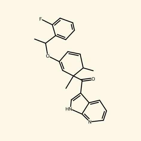 CC(OC1=CC(C)(C(=O)c2c[nH]c3ncccc23)C(C)C=C1)c1ccccc1F